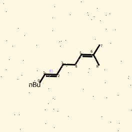 CCCC/C=C/CCC=C(C)C